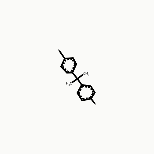 CC(C)(c1ccc(I)cc1)c1ccc(I)cc1